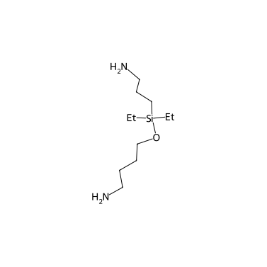 CC[Si](CC)(CCCN)OCCCCN